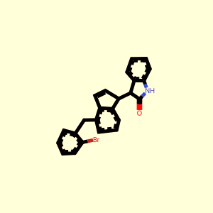 O=C1Nc2ccccc2C1C1C=Cc2c(Cc3ccccc3Br)cccc21